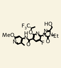 CCn1c(CO)nn(-c2nc(O[C@@H](C)C(F)(F)F)c(C(=O)Nc3cc(OC)ncc3C)cc2F)c1=O